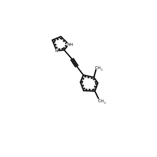 Cc1ccc(C#Cc2ncc[nH]2)c(C)c1